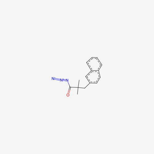 CC(C)(Cc1ccc2ccccc2c1)C(=O)N=[N+]=[N-]